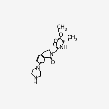 CCOC(=O)[C@H](CC)NC(=O)CN1CCc2ccc(N3CCNCC3)cc2C1=O